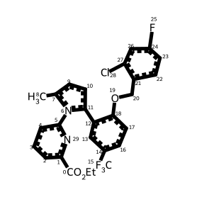 CCOC(=O)c1cccc(-n2c(C)ccc2-c2cc(C(F)(F)F)ccc2OCc2ccc(F)cc2Cl)n1